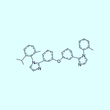 Cc1ccccc1-n1ccnc1-c1cccc(Oc2cccc(-c3nccn3-c3c(C)cccc3C(C)C)c2)c1